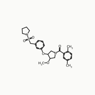 COC1CN(C(=O)c2cc(C)ccc2C)CC1Oc1cccc(CS(=O)(=O)N2CCCC2)c1